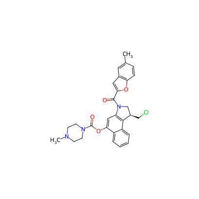 Cc1ccc2oc(C(=O)N3C[C@@H](CCl)c4c3cc(OC(=O)N3CCN(C)CC3)c3ccccc43)cc2c1